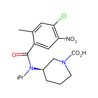 Cc1cc(Cl)c([N+](=O)[O-])cc1C(=O)N(C(C)C)[C@@H]1CCCN(C(=O)O)C1